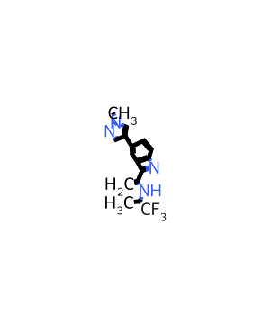 C=C(NC(C)C(F)(F)F)C1=Nc2ccc(-c3cnn(C)c3)cc21